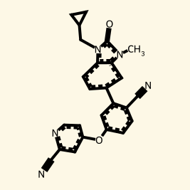 Cn1c(=O)n(CC2CC2)c2ccc(-c3cc(Oc4ccnc(C#N)c4)ccc3C#N)cc21